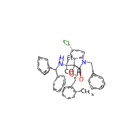 CC[C@](NC(c1ccccc1)c1ccccc1)(C(=O)O)C1(OCc2ccccc2C)C(=O)N(Cc2ccccc2)c2ccc(Cl)cc21